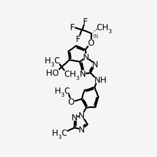 COc1cc(Nc2nc3c(C(C)(C)O)ccc(O[C@@H](C)C(F)(F)F)n3n2)ccc1-n1cnc(C)n1